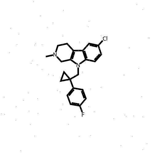 CN1CCc2c(n(CC3(c4ccc(F)cc4)CC3)c3ccc(Cl)cc23)C1